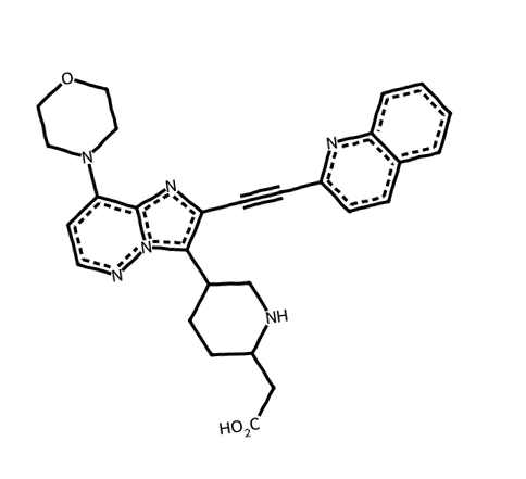 O=C(O)CC1CCC(c2c(C#Cc3ccc4ccccc4n3)nc3c(N4CCOCC4)ccnn23)CN1